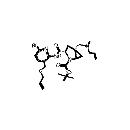 C=CCOCc1ccc(Br)nc1NC(=O)[C@@H]1C[C@@]2(CN(C)CC=C)CC2N1C(=O)OC(C)(C)C